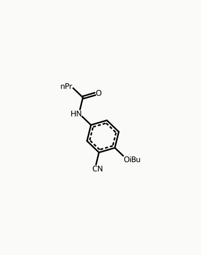 C[CH]CC(=O)Nc1ccc(OCC(C)C)c(C#N)c1